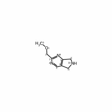 COCc1ncc2c(n1)CNC2